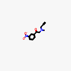 C#CCN(C)CC(=O)c1cccc([N+](=O)[O-])c1